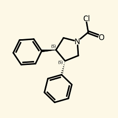 O=C(Cl)N1C[C@H](c2ccccc2)[C@@H](c2ccccc2)C1